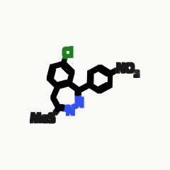 CSC1=NN=C(c2ccc([N+](=O)[O-])cc2)c2cc(Cl)ccc2C1